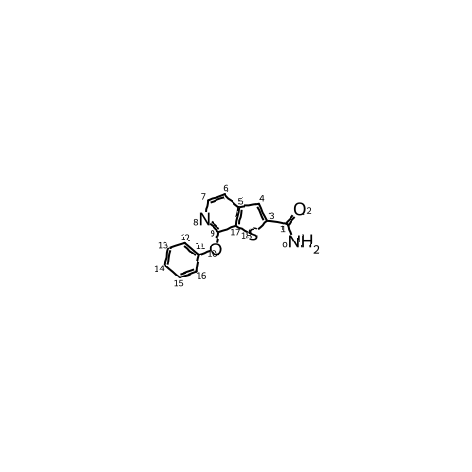 NC(=O)c1cc2ccnc(Oc3ccccc3)c2s1